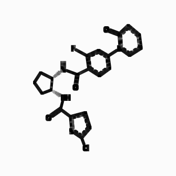 O=C(N[C@@H]1CCC[C@@H]1NC(=O)c1ccc(-n2ccccc2=O)cc1F)c1ccc(Cl)s1